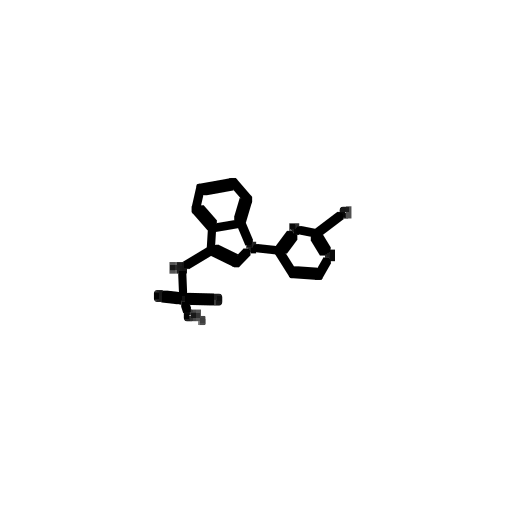 CS(=O)(=O)Nc1cn(-c2ccnc(Cl)n2)c2ccccc12